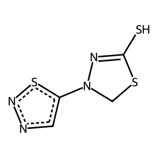 SC1=NN(c2cnns2)CS1